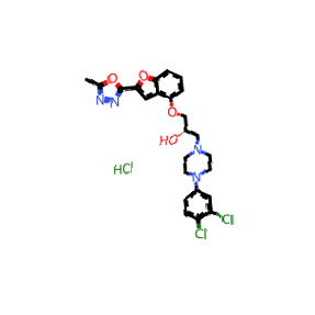 Cc1nnc(-c2cc3c(OC[C@@H](O)CN4CCN(c5ccc(Cl)c(Cl)c5)CC4)cccc3o2)o1.Cl